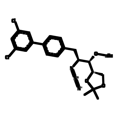 CCCCO[C@@H]([C@H](Cc1ccc(-c2cc(Cl)cc(Cl)c2)cc1)N=[N+]=[N-])[C@@H]1COC(C)(C)O1